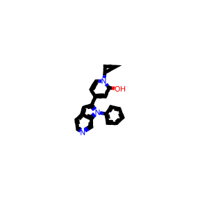 OC1C=C(c2cc3ccncc3n2-c2ccccc2)C=CN1C1CC1